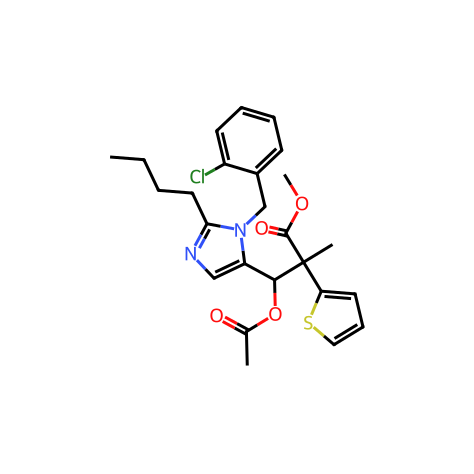 CCCCc1ncc(C(OC(C)=O)C(C)(C(=O)OC)c2cccs2)n1Cc1ccccc1Cl